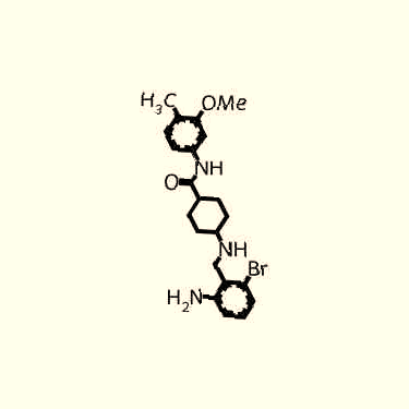 COc1cc(NC(=O)C2CCC(NCc3c(N)cccc3Br)CC2)ccc1C